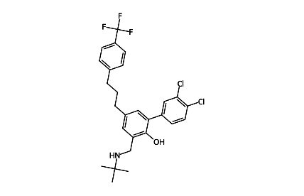 CC(C)(C)NCc1cc(CCCc2ccc(C(F)(F)F)cc2)cc(-c2ccc(Cl)c(Cl)c2)c1O